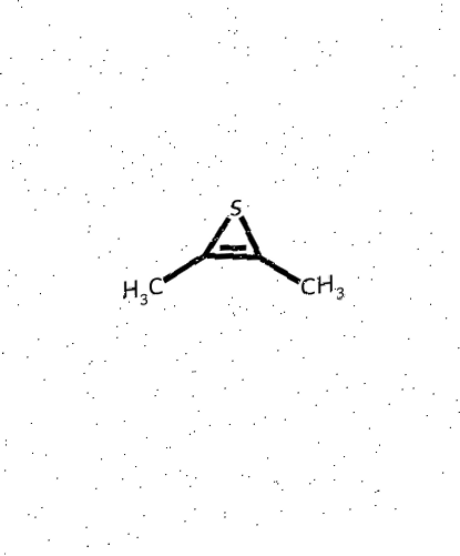 CC1=C(C)S1